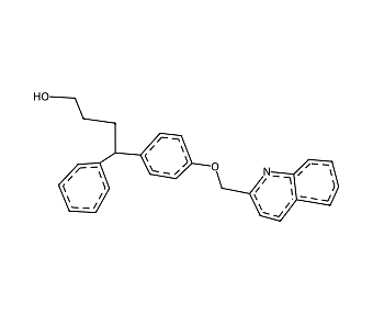 OCCCC(c1ccccc1)c1ccc(OCc2ccc3ccccc3n2)cc1